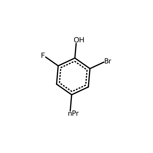 CCCc1cc(F)c(O)c(Br)c1